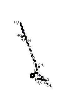 CCCCC/C=C/CC(CC(=O)NCCCOCCOCCOCCOCCN(CC)c1nc(-c2ccccc2)c(/N=N/c2sc(C(=O)OCC)c(C)c2C#N)s1)C(=O)O